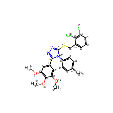 COc1cc(-c2nnc(SCc3cccc(Cl)c3Cl)n2-c2ccc(C)cc2)cc(OC)c1OC